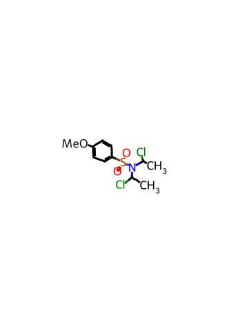 COc1ccc(S(=O)(=O)N(C(C)Cl)C(C)Cl)cc1